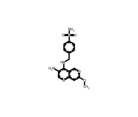 COc1cc2ncc(N)c(NCc3ccc(S(N)(=O)=O)cc3)c2cn1